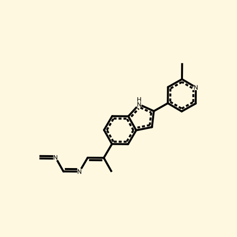 C=N/C=N\C=C(/C)c1ccc2[nH]c(-c3ccnc(C)c3)cc2c1